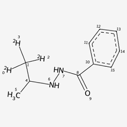 [2H]C([2H])([2H])C(C)NNC(=O)c1ccccc1